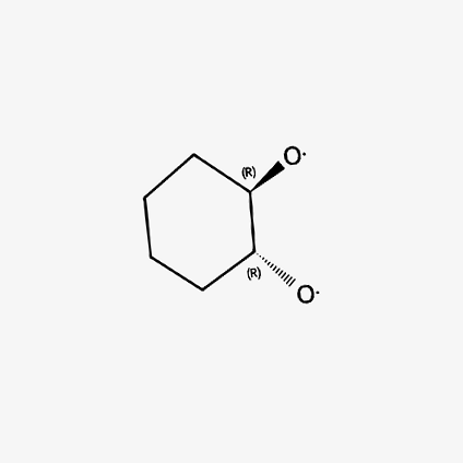 [O][C@@H]1CCCC[C@H]1[O]